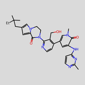 CCC(C)(C)Cc1cc2n(c1)CCN(c1nccc(-c3cc(Nc4ccnc(C)n4)c(=O)n(C)c3)c1CO)C2=O